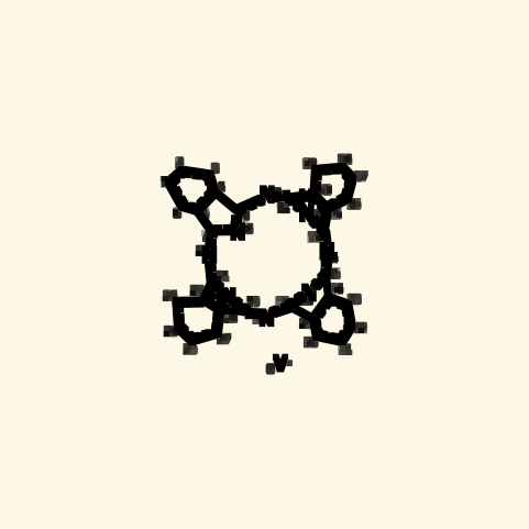 [V].c1ccc2c(c1)-c1nc-2nc2[nH]c(nc3nc(nc4[nH]c(n1)c1ccccc41)-c1ccccc1-3)c1ccccc21